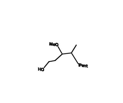 CCCC(C)C(C)C(CCO)OC